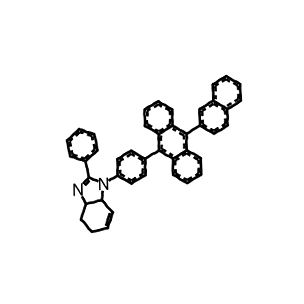 C1=CC2C(CC1)N=C(c1ccccc1)N2c1ccc(-c2c3ccccc3c(-c3ccc4ccccc4c3)c3ccccc23)cc1